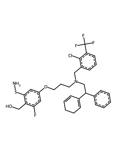 NSc1cc(OCCCN(Cc2cccc(C(F)(F)F)c2Cl)CC(C2=CCCC=C2)c2ccccc2)cc(F)c1CO